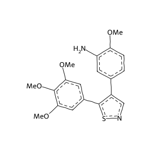 COc1ccc(-c2cnsc2-c2cc(OC)c(OC)c(OC)c2)cc1N